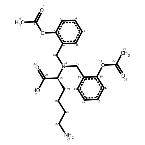 CC(=O)Oc1ccccc1CN(Cc1ccccc1OC(C)=O)[C@@H](CCCCN)C(=O)O